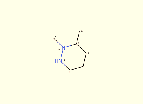 CC1CCCNN1C